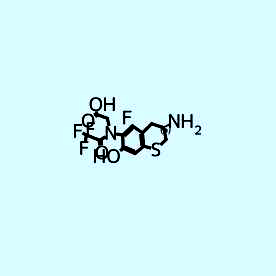 N[C@@H]1CSc2cc(O)c(N(CC(=O)O)C(=O)C(F)(F)F)c(F)c2C1